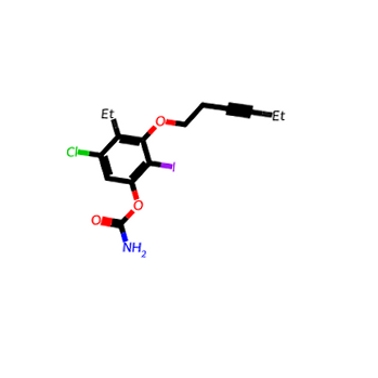 CCC#CCCOc1c(I)c(OC(N)=O)cc(Cl)c1CC